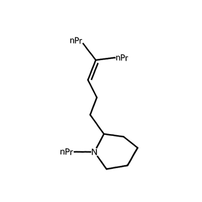 CCCC(=CCCC1CCCCN1CCC)CCC